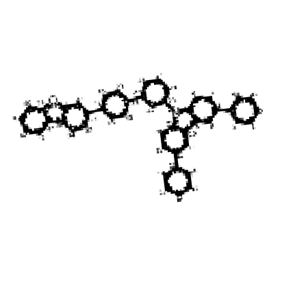 c1ccc(-c2ccc3c(c2)c2cc(-c4ccccc4)ccc2n3-c2cccc(-c3ccc(-c4ccc5c(c4)oc4ccccc45)cc3)c2)cc1